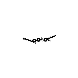 CCCCCCCCc1ccc(-c2ccc(C(=O)OC3CCC(C#N)(CCCCCCC)CC3)cc2)c(F)c1